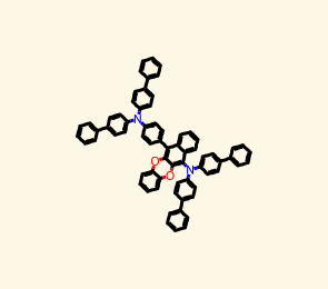 c1ccc(-c2ccc(N(c3ccc(-c4ccccc4)cc3)c3ccc(-c4c5c(c(N(c6ccc(-c7ccccc7)cc6)c6ccc(-c7ccccc7)cc6)c6ccccc46)Oc4ccccc4O5)cc3)cc2)cc1